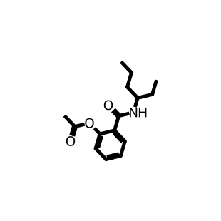 CCCC(CC)NC(=O)c1ccccc1OC(C)=O